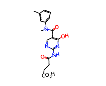 Cc1cccc(N(C)C(=O)c2cnc(NC(=O)CCC(=O)O)nc2O)c1